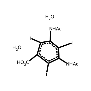 CC(=O)Nc1c(I)c(NC(C)=O)c(I)c(C(=O)O)c1I.O.O